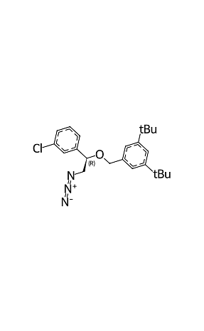 CC(C)(C)c1cc(CO[C@@H](CN=[N+]=[N-])c2cccc(Cl)c2)cc(C(C)(C)C)c1